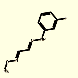 CC(C)(C)O/N=C/C=N/Nc1cccc(F)c1